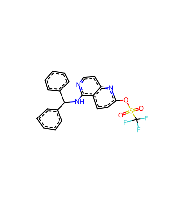 O=S(=O)(Oc1ccc2c(NC(c3ccccc3)c3ccccc3)nccc2n1)C(F)(F)F